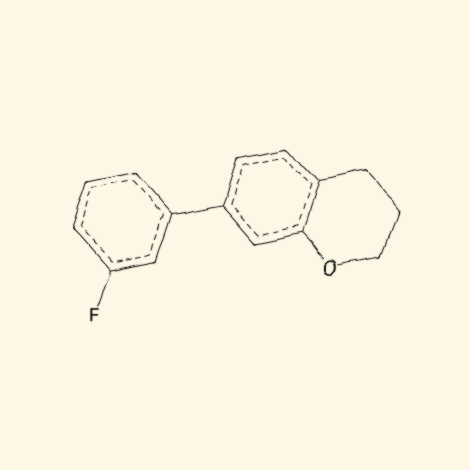 Fc1cccc(-c2ccc3c(c2)OCCC3)c1